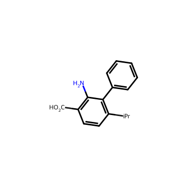 CC(C)c1ccc(C(=O)O)c(N)c1-c1ccccc1